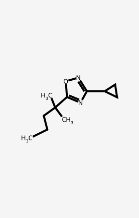 CCCC(C)(C)c1nc(C2CC2)no1